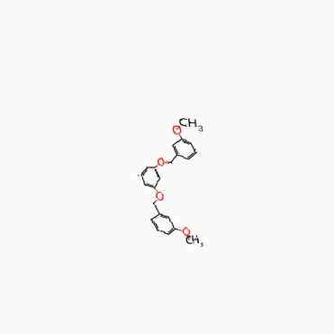 COc1cccc(COc2c[c]cc(OCc3cccc(OC)c3)c2)c1